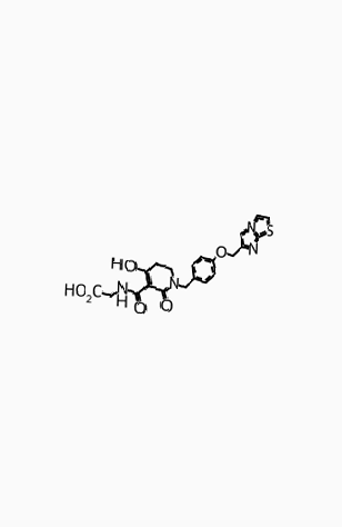 O=C(O)CNC(=O)C1=C(O)CCN(Cc2ccc(OCc3cn4ccsc4n3)cc2)C1=O